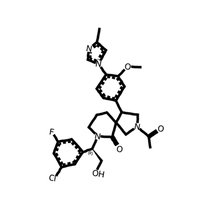 COc1cc(C2CN(C(C)=O)CC23CCCN([C@@H](CO)c2cc(F)cc(Cl)c2)C3=O)ccc1-n1cnc(C)c1